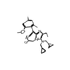 CCc1nc2c(-c3c(C)cc(C)cc3OC)nc(Cl)cn2c1N(CC1CC1)CC1CC1